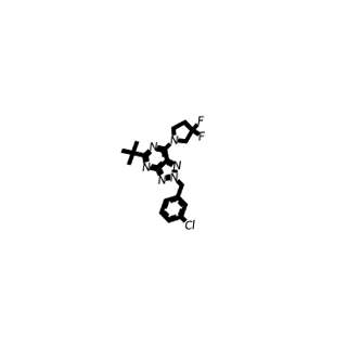 CC(C)(C)c1nc(N2CCC(F)(F)C2)c2nn(Cc3cccc(Cl)c3)nc2n1